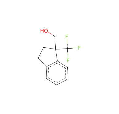 OCC1(C(F)(F)F)CCc2ccccc21